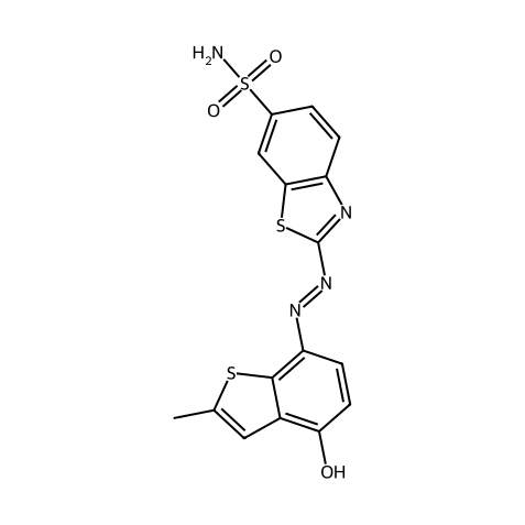 Cc1cc2c(O)ccc(/N=N/c3nc4ccc(S(N)(=O)=O)cc4s3)c2s1